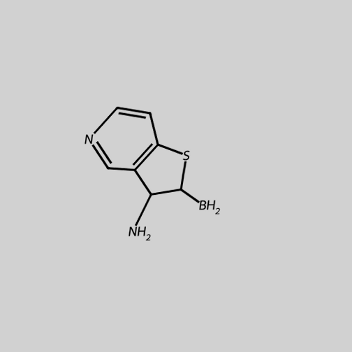 BC1Sc2ccncc2C1N